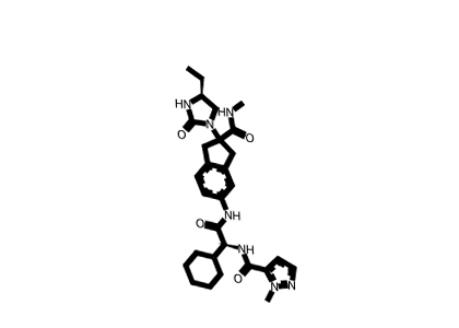 CC[C@H]1CN(C2(C(=O)NC)Cc3ccc(NC(=O)[C@@H](NC(=O)c4ccnn4C)C4CCCCC4)cc3C2)C(=O)N1